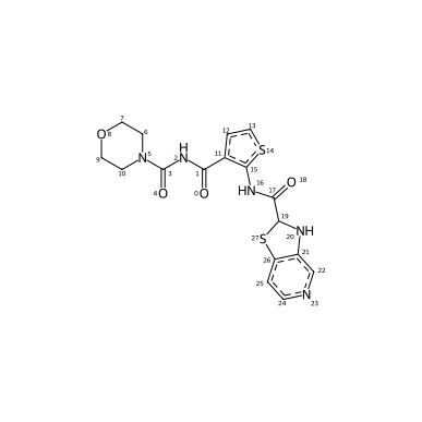 O=C(NC(=O)N1CCOCC1)c1ccsc1NC(=O)C1Nc2cnccc2S1